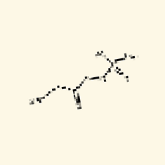 O=CCC(=O)COP(=O)(O)O